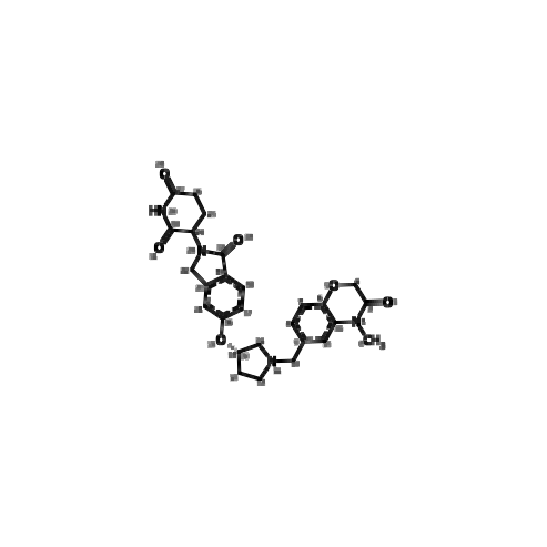 CN1C(=O)COc2ccc(CN3CC[C@H](Oc4ccc5c(c4)CN(C4CCC(=O)NC4=O)C5=O)C3)cc21